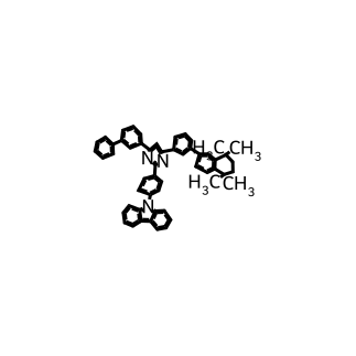 CC1(C)CCC(C)(C)c2cc(-c3cccc(-c4cc(-c5cccc(-c6ccccc6)c5)nc(-c5ccc(-n6c7ccccc7c7ccccc76)cc5)n4)c3)ccc21